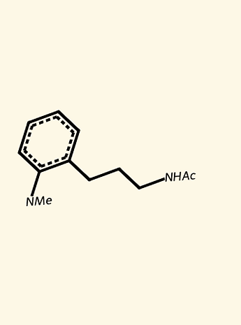 CNc1ccccc1CCCNC(C)=O